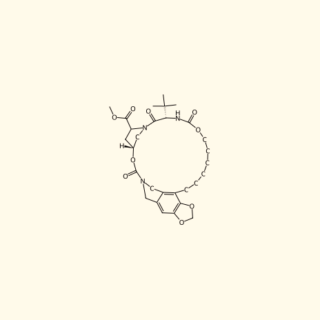 COC(=O)C1C[C@@H]2CN1C(=O)[C@H](C(C)(C)C)NC(=O)OCCCCCCc1c3c(cc4c1OCO4)CN(C3)C(=O)O2